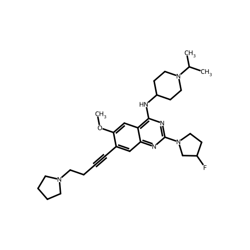 COc1cc2c(NC3CCN(C(C)C)CC3)nc(N3CCC(F)C3)nc2cc1C#CCCN1CCCC1